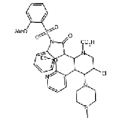 CCOc1ncccc1C1C(N2CCN(C)CC2)C(Cl)CN(C(=O)O)C1C1C(=O)N(S(=O)(=O)c2ccccc2OC)c2ccccc21